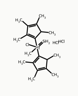 CC1=C(C)C(C)[C]([Hf]([CH3])(=[SiH2])([Cl])[C]2=C(C)C(C)=C(C)C2C)=C1C.Cl.Cl